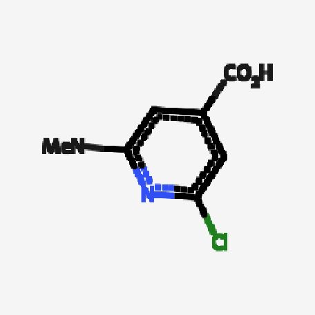 CNc1cc(C(=O)O)cc(Cl)n1